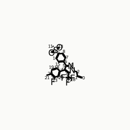 C=CCn1nc(-c2ccc(S(C)(=O)=O)cc2)c(-c2ccc(C)c(F)c2)c1C(F)(F)F